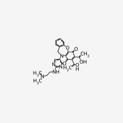 C=C(O)C1=C(C(=C)O)C(=O)C2=C(Oc3ccccc3CN2c2cnc(NCCN(C)C)nc2)C1=O